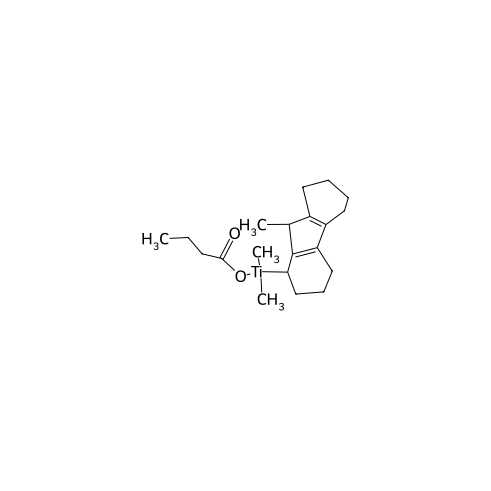 CCCC(=O)[O][Ti]([CH3])([CH3])[CH]1CCCC2=C1C(C)C1=C2CCCC1